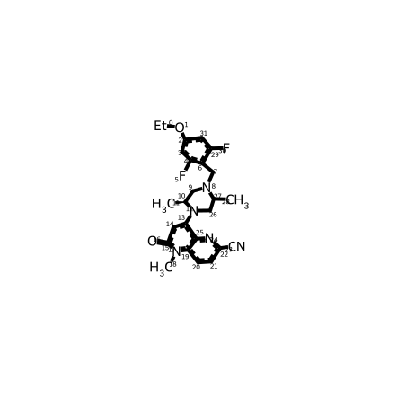 CCOc1cc(F)c(CN2C[C@H](C)N(c3cc(=O)n(C)c4ccc(C#N)nc34)CC2C)c(F)c1